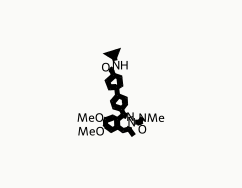 CNC(=O)N1N=C(c2ccc(-c3ccc(C(=O)NC4CC4)cc3)cc2)c2cc(OC)c(OC)cc2CC1C